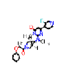 CCC(Oc1ccccc1)C(=O)N1C[C@@H]2[C@H](C1)[C@@H]2N(C)c1nc(-c2ccncc2F)cc(=O)n1C